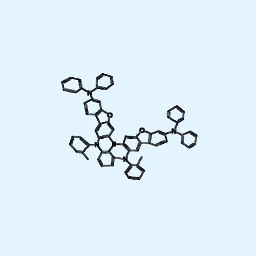 Cc1ccccc1N1c2cc3c(cc2B2c4cc5oc6cc(N(c7ccccc7)c7ccccc7)ccc6c5cc4N(c4ccccc4C)c4cccc1c42)oc1cc(N(c2ccccc2)c2ccccc2)ccc13